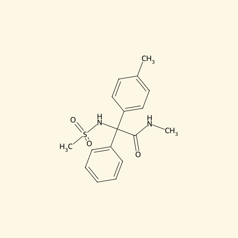 CNC(=O)C(NS(C)(=O)=O)(c1ccccc1)c1ccc(C)cc1